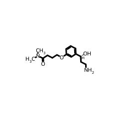 CN(C)C(=O)CCCOc1cccc([C@H](O)CCN)c1